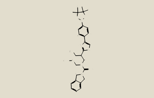 CC(C)CC(CN(CNC=O)C(=O)N1Cc2ccccc2C1)c1nc(-c2ccc(B3OC(C)(C)C(C)(C)O3)cc2)c[nH]1